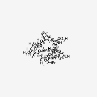 C/C=C(\C)C(OC(=O)C(C)(C)NC(=O)OCC1c2ccccc2-c2ccccc21)C(C)C(C/C=C(\C)C(=O)OC(CC(C)C)C(=O)NC(C)C(=O)N(C)C(Cc1ccc(C#N)cc1)C(=O)N(C)CC(=O)NC(C(=O)O)C(C)CC)OCSC